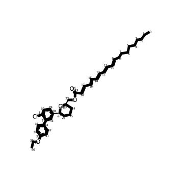 CCCCCCCCCC=CC=CC=CC=CC=CC(=O)OC[C@H]1CCC[C@@H](c2ccc(Cl)c(-c3ccc(OCC)cc3)c2)O1